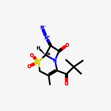 CC1=C(C(=O)C(C)(C)C)N2C(=O)C(=[N+]=[N-])[C@@H]2S(=O)(=O)C1